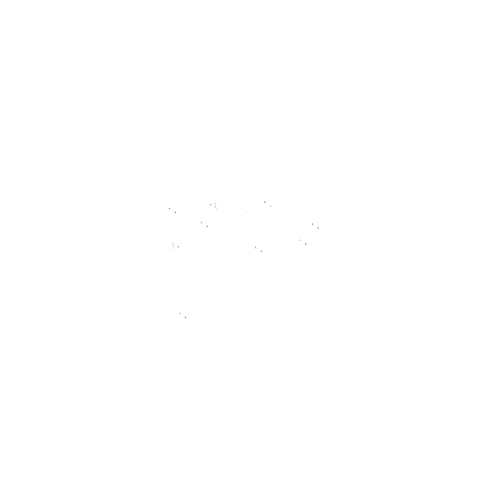 CCNCCCN(C)c1ncc2ccc(C(=O)Nc3cn(C)nc3C#N)n2n1